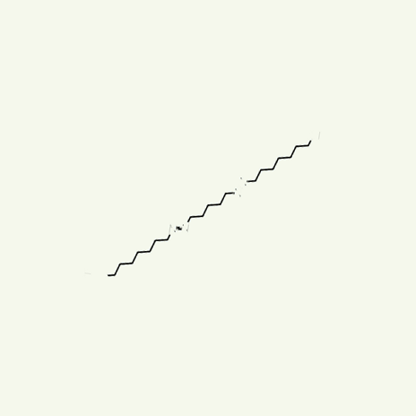 CCCCCCCC/N=N/CCCCC/N=N/CCCCCCCC